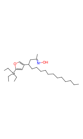 CCCCCCCCCCCCC(CC(C)=NO)c1coc([Si](CC)(CC)CC)c1